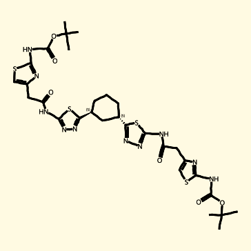 CC(C)(C)OC(=O)Nc1nc(CC(=O)Nc2nnc([C@H]3CCC[C@H](c4nnc(NC(=O)Cc5csc(NC(=O)OC(C)(C)C)n5)s4)C3)s2)cs1